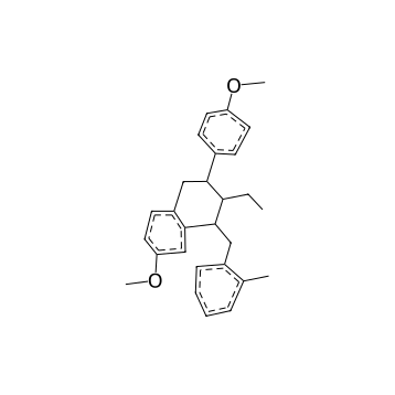 CCC1C(c2ccc(OC)cc2)Cc2ccc(OC)cc2C1Cc1ccccc1C